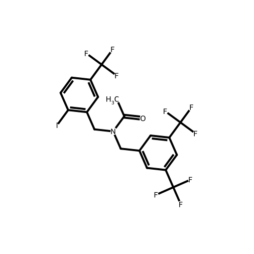 CC(=O)N(Cc1cc(C(F)(F)F)cc(C(F)(F)F)c1)Cc1cc(C(F)(F)F)ccc1I